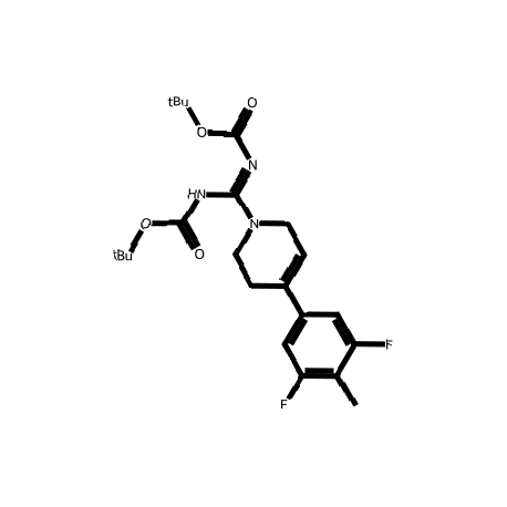 Cc1c(F)cc(C2=CCN(C(=NC(=O)OC(C)(C)C)NC(=O)OC(C)(C)C)CC2)cc1F